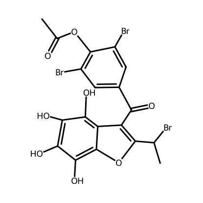 CC(=O)Oc1c(Br)cc(C(=O)c2c(C(C)Br)oc3c(O)c(O)c(O)c(O)c23)cc1Br